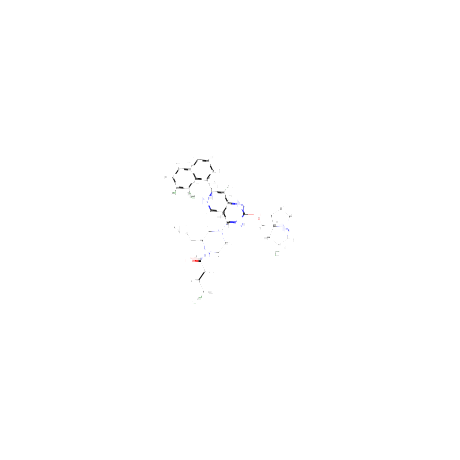 N#CC[C@H]1CN(c2nc(OC[C@@]34CCCN3C[C@H](F)C4)nc3c(F)c(-c4cccc5ccc(F)c(F)c45)ncc23)CCN1C(=O)/C=C/CBr